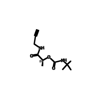 C#CCNC(=O)[C@H](C)OC(=O)NC(C)(C)C